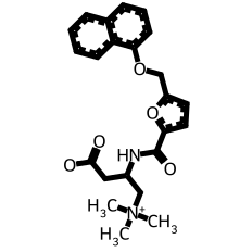 C[N+](C)(C)CC(CC(=O)[O-])NC(=O)c1ccc(COc2cccc3ccccc23)o1